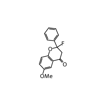 COc1ccc2c(c1)C(=O)CC(F)(c1ccccc1)O2